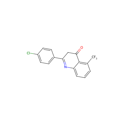 O=C1CC(c2ccc(Cl)cc2)=Nc2cccc(C(F)(F)F)c21